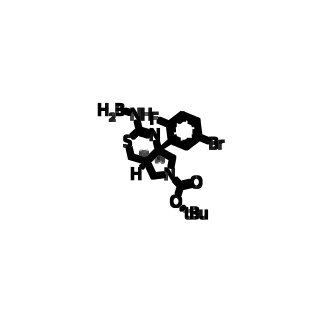 BNC1=N[C@]2(c3cc(Br)ccc3F)CN(C(=O)OC(C)(C)C)C[C@@H]2CS1